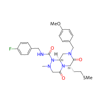 COc1ccc(CN2C[C@H]3N(C(=O)CN(C)N3C(=O)NCc3ccc(F)cc3)[C@@H](CCSC)C2=O)cc1